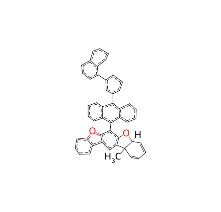 CC12C=CC=C[C@@H]1Oc1c2cc2c(oc3ccccc32)c1-c1c2ccccc2c(-c2cccc(-c3cccc4ccccc34)c2)c2ccccc12